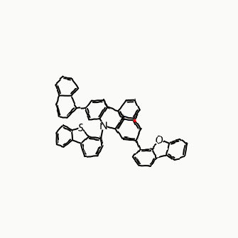 c1ccc(-c2ccc(-c3cccc4ccccc34)cc2N(c2cccc(-c3cccc4c3oc3ccccc34)c2)c2cccc3c2sc2ccccc23)cc1